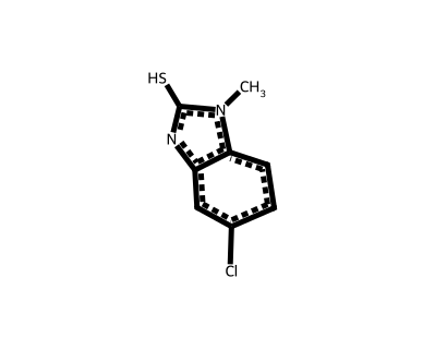 Cn1c(S)nc2cc(Cl)ccc21